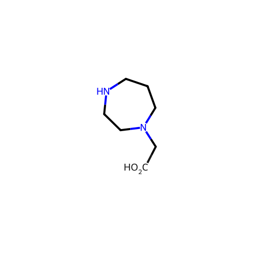 O=C(O)CN1CCCNCC1